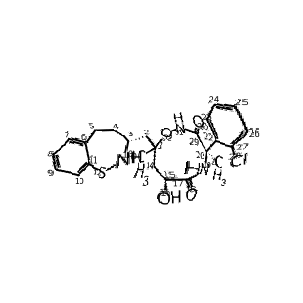 CC1(C[C@H]2CCc3ccccc3SN2)C[C@H](O)C(=O)N[C@](C)(c2ccccc2Cl)C(=O)NO1